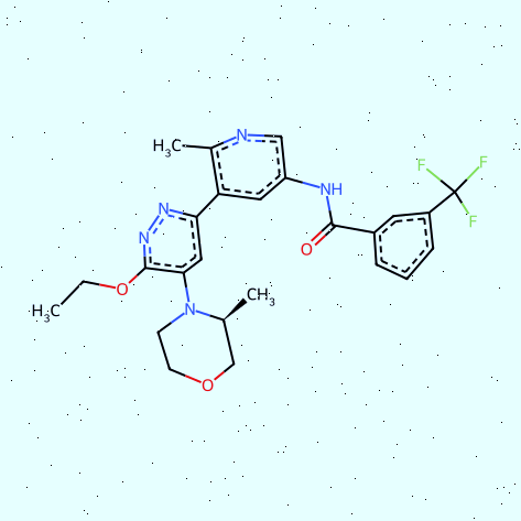 CCOc1nnc(-c2cc(NC(=O)c3cccc(C(F)(F)F)c3)cnc2C)cc1N1CCOC[C@@H]1C